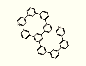 c1cncc(-c2cc(-c3cccc(-c4cccc(-c5cccc(-c6ccncc6)c5)c4)c3)cc(-c3cccc(-c4cccc(-c5cccc(-c6ccncc6)c5)c4)c3)c2)c1